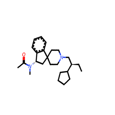 CC[C@H](CN1CCC2(CC1)C[C@H](N(C)C(C)=O)c1ccccc12)C1CCCC1